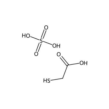 O=C(O)CS.O=S(=O)(O)O